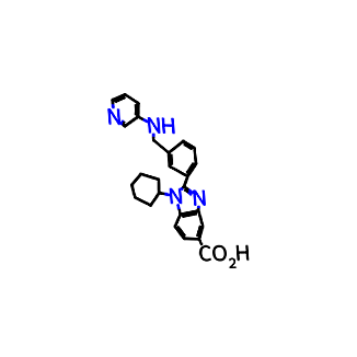 O=C(O)c1ccc2c(c1)nc(-c1cccc(CNc3cccnc3)c1)n2C1CCCCC1